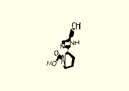 C#Cc1cnc([C@@H]2CCCN2C(=O)O)[nH]1